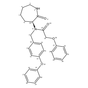 O=C1NCCCC[C@@H]1N(Cc1ccc(Oc2ccccc2)cc1)C(=O)COc1ccccc1